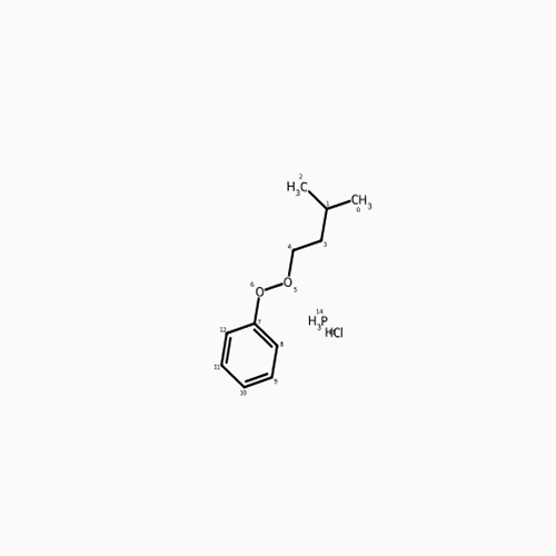 CC(C)CCOOc1ccccc1.Cl.P